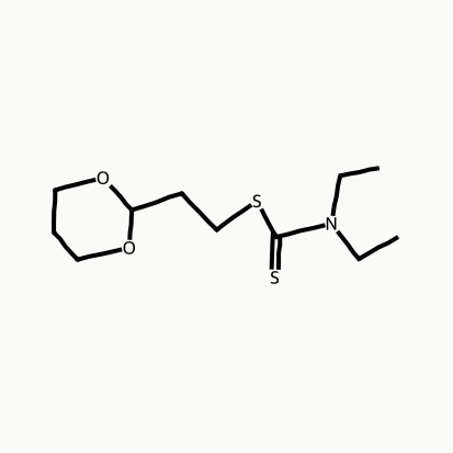 CCN(CC)C(=S)SCCC1OCCCO1